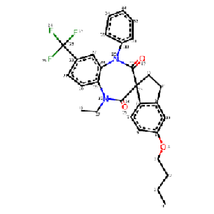 CCCCOc1ccc2c(c1)CCC21C(=O)N(CC)c2ccc(C(F)(F)F)cc2N(c2ccccc2)C1=O